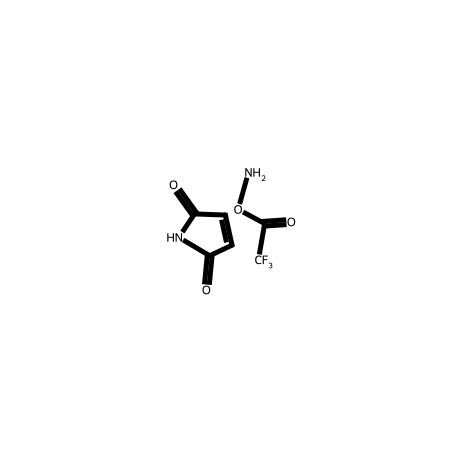 NOC(=O)C(F)(F)F.O=C1C=CC(=O)N1